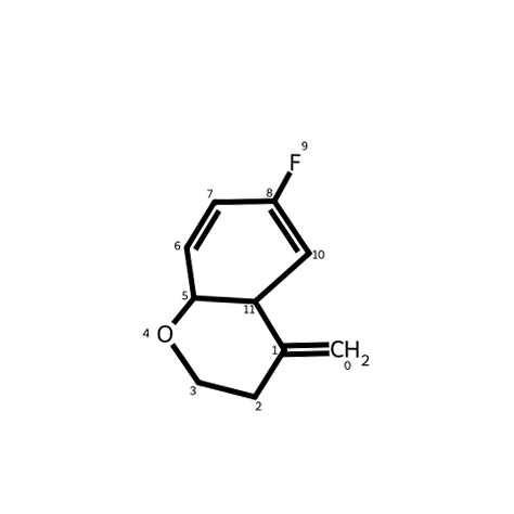 C=C1CCOC2C=CC(F)=CC12